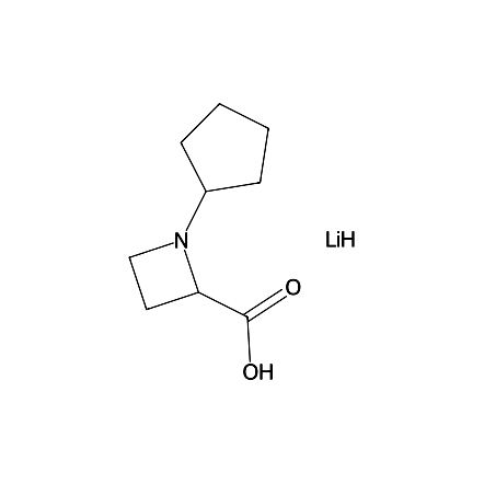 O=C(O)C1CCN1C1CCCC1.[LiH]